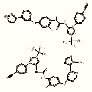 CC(C)(C)c1cc(NC(=O)Nc2ccc(Oc3ccnc(-c4cc[nH]n4)c3)cc2F)n(-c2ccc(C#N)cc2)n1.Cn1nccc1-c1cc(Oc2ccc(NC(=O)Nc3cc(C(C)(C)C)nn3-c3ccc(C#N)cc3)c(F)c2)ccn1